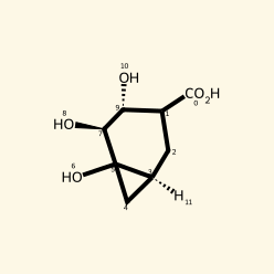 O=C(O)C1C[C@H]2CC2(O)[C@@H](O)[C@@H]1O